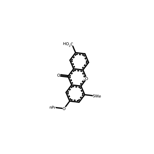 CCCOc1cc(SC)c2oc3ccc(C(=O)O)cc3c(=O)c2c1